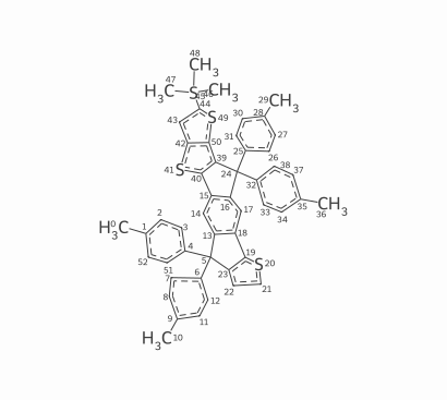 Cc1ccc(C2(c3ccc(C)cc3)c3cc4c(cc3-c3sccc32)C(c2ccc(C)cc2)(c2ccc(C)cc2)c2c-4sc3cc(S(C)(C)C)sc23)cc1